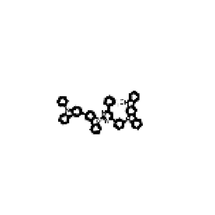 Cn1c2ccccc2c2cc3c4ccccc4n(-c4cccc(-c5cc(-c6ccccc6)nc(-n6c7ccccc7c7cc(-c8ccc9c(c8)c8ccccc8n9-c8ccccc8)ccc76)n5)c4)c3cc21